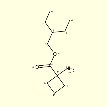 CCC(CC)COC(=O)C1(N)CCC1